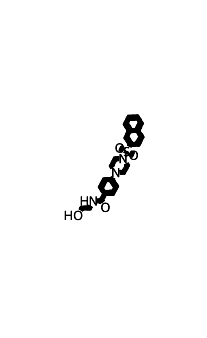 O=C(NCCO)c1ccc(N2CCN(S(=O)(=O)c3ccc4ccccc4c3)CC2)cc1